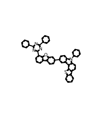 c1ccc(-c2nc(-c3ccccc3)nc(-c3cccc4c3oc3cc(-c5ccc6c(c5)c5c7sc8ccccc8c7ccc5n6-c5ccccc5)ccc34)n2)cc1